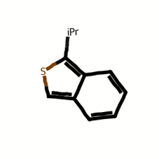 CC(C)c1scc2ccccc12